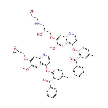 COc1cc2c(Oc3ccc(C)cc3C(=O)c3ccccc3)ccnc2cc1OCC(O)CNCCO.COc1cc2c(Oc3ccc(C)cc3C(=O)c3ccccc3)ccnc2cc1OCC1CO1